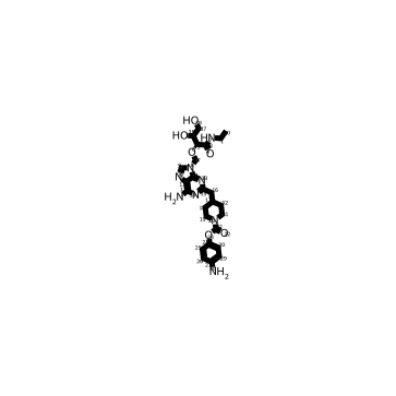 CCNC(=O)[C@@H](OCn1cnc2c(N)nc(CC3CCN(C(=O)Oc4ccc(N)cc4)CC3)nc21)C(O)CO